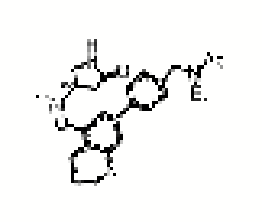 CCN(Cc1ccc(-c2cc(O[C@H](C)[C@H]3CNC(=O)C3)c3cccnc3c2)cc1)C(C)=O